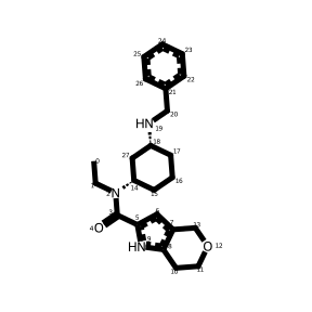 CCN(C(=O)c1cc2c([nH]1)CCOC2)[C@H]1CCC[C@@H](NCc2ccccc2)C1